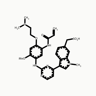 C=CC(=O)Nc1cc(Nc2nccc(-c3cn(C)c4cc(CS(=O)(=O)O)ccc34)n2)c(OC)cc1OCCN(C)C